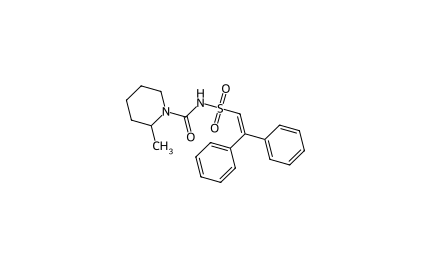 CC1CCCCN1C(=O)NS(=O)(=O)C=C(c1ccccc1)c1ccccc1